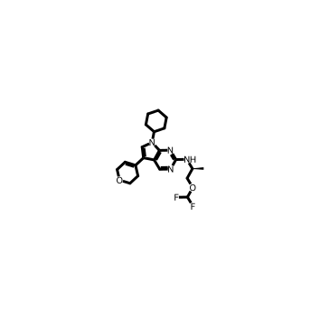 C[C@@H](COC(F)F)Nc1ncc2c(C3=CCOCC3)cn(C3CCCCC3)c2n1